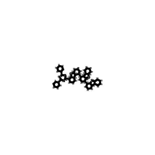 c1ccc(-c2nc(-c3ccccc3)nc(-c3cccc4c3oc3cccc(-c5ccc(-c6cccc7c6sc6ccccc67)c6oc7ccccc7c56)c34)n2)cc1